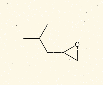 C[C](C)CC1CO1